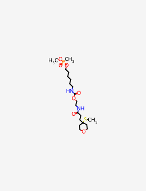 COP(C)(=O)OCCCCCCNC(=O)OCCNC(=O)CCC1(SC)CCOCC1